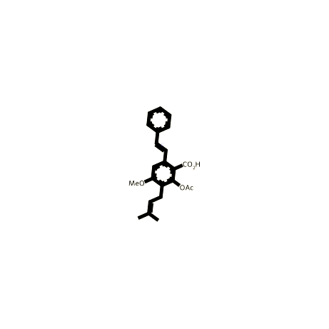 COc1cc(/C=C/c2ccccc2)c(C(=O)O)c(OC(C)=O)c1CC=C(C)C